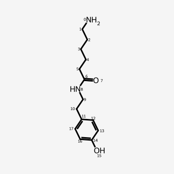 NCCCCCC(=O)NCCc1ccc(O)cc1